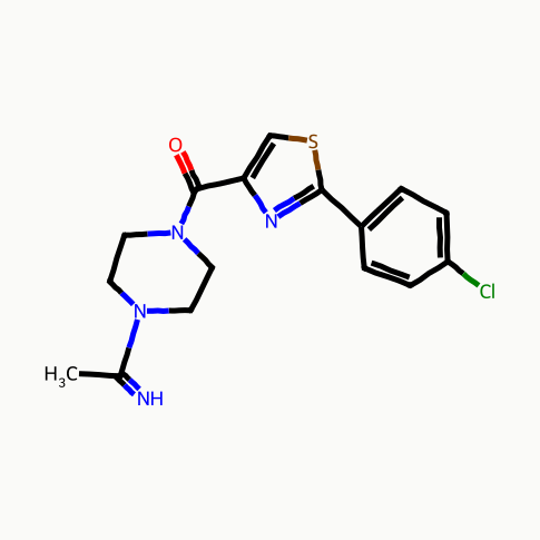 CC(=N)N1CCN(C(=O)c2csc(-c3ccc(Cl)cc3)n2)CC1